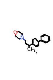 CC(=CCN1CCOCC1)c1ccc(-c2ccccc2)cc1